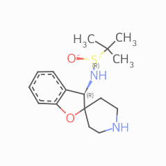 CC(C)(C)[S@+]([O-])N[C@@H]1c2ccccc2OC12CCNCC2